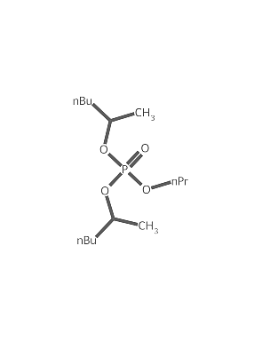 CCCCC(C)OP(=O)(OCCC)OC(C)CCCC